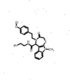 CCOc1ccc(CCN2C(=O)CSc3c(c4ccccc4n3C)C2C(=O)NCCC(C)C)cc1